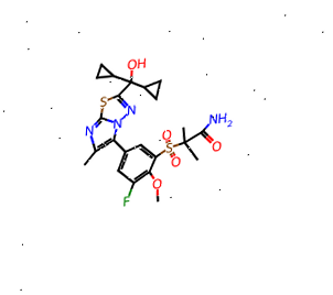 COc1c(F)cc(-c2c(C)nc3sc(C(O)(C4CC4)C4CC4)nn23)cc1S(=O)(=O)C(C)(C)C(N)=O